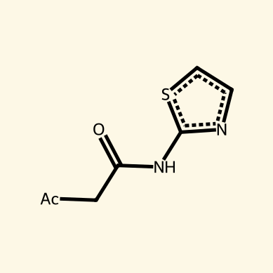 CC(=O)CC(=O)Nc1nccs1